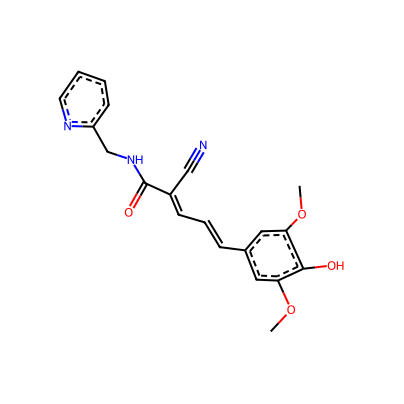 COc1cc(/C=C/C=C(\C#N)C(=O)NCc2ccccn2)cc(OC)c1O